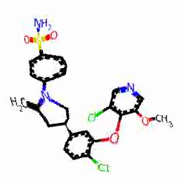 C=C1C[C@H](c2ccc(Cl)c(Oc3c(Cl)cncc3OC)c2)CN1c1ccc(S(N)(=O)=O)cc1